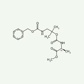 COC(=O)[C@H](C)NC(=O)OC(C)(C)CNC(=O)OCc1ccccc1